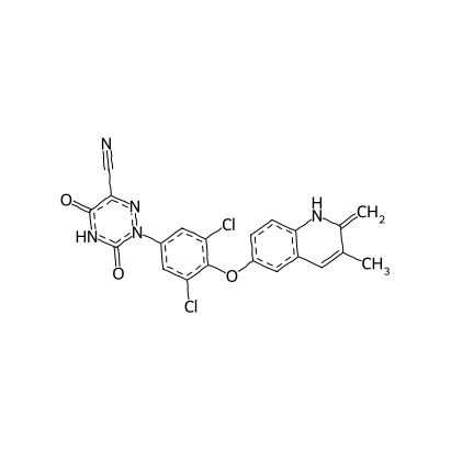 C=C1Nc2ccc(Oc3c(Cl)cc(-n4nc(C#N)c(=O)[nH]c4=O)cc3Cl)cc2C=C1C